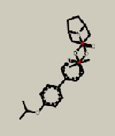 CC(C)Oc1ccc(-c2ccc(OC3CC4CCC(C3)N4C(=O)OC(C)(C)C)nc2)cc1